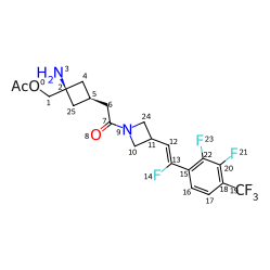 CC(=O)OC[C@]1(N)C[C@@H](CC(=O)N2CC(/C=C(\F)c3ccc(C(F)(F)F)c(F)c3F)C2)C1